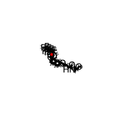 COCC(C)(C)NC(=O)CCCOc1ccc2ccc(OS(=O)(=O)C(F)(F)C(F)(F)C(F)(F)C(F)(F)F)cc2c1